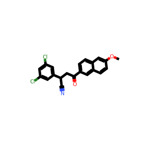 COc1ccc2cc(C(=O)CC(C#N)c3cc(Cl)cc(Cl)c3)ccc2c1